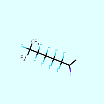 CC(I)C(F)(F)C(F)(F)C(F)(F)C(F)(F)C(F)(C(F)(F)F)C(F)(F)F